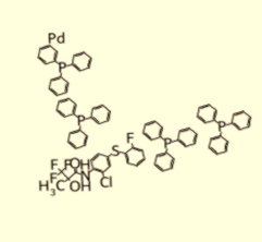 CC(O)(C(=O)Nc1ccc(Sc2ccccc2F)cc1Cl)C(F)(F)F.[Pd].c1ccc(P(c2ccccc2)c2ccccc2)cc1.c1ccc(P(c2ccccc2)c2ccccc2)cc1.c1ccc(P(c2ccccc2)c2ccccc2)cc1.c1ccc(P(c2ccccc2)c2ccccc2)cc1